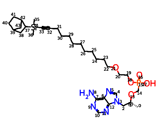 C[C@H](Cn1cnc2c(N)ncnc21)OCP(=O)(O)OCCOCCCCCCCCCCC#C[Si](C)(C)C1CC2CCC1C2